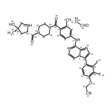 Cc1cc(Nc2nccn3c(-c4ccc(OCC#N)c(F)c4F)cnc23)ccc1C(=O)N1CCN(C(=O)[C@@H]2C[C@](C)(O)CN2)CC1.O=CO